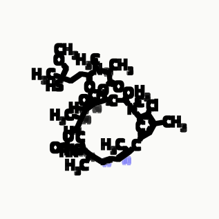 COCC(C)(S)CCC(=O)N(C)[C@H](C)C(=O)OC1CC(=O)N(C)c2cc(cc(C)c2Cl)C/C(C)=C/C=C/[C@@H](C)[C@@]2(O)C[C@H](OC(=O)N2)[C@@H](C)[C@@H]2O[C@@]12C